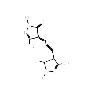 CCN1N=C(C)/C(=C\C=C\C2C(C)=NN(CC)C2O)C1=O